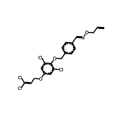 C=CCON=Cc1ccc(COc2c(Cl)cc(OCC=C(Cl)Cl)cc2Cl)cc1